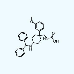 COc1cccc(C2(CNC(=O)O)CCC(NC(c3ccccc3)c3ccccc3)CC2)c1